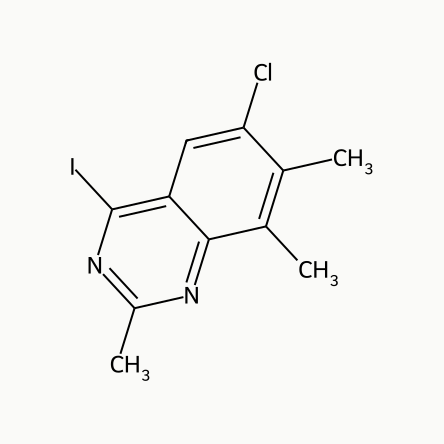 Cc1nc(I)c2cc(Cl)c(C)c(C)c2n1